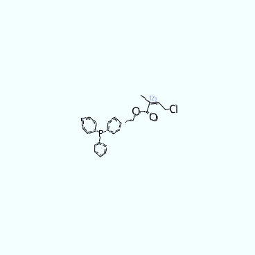 CCOC(=O)/C(C)=C\CCl.c1ccc(P(c2ccccc2)c2ccccc2)cc1